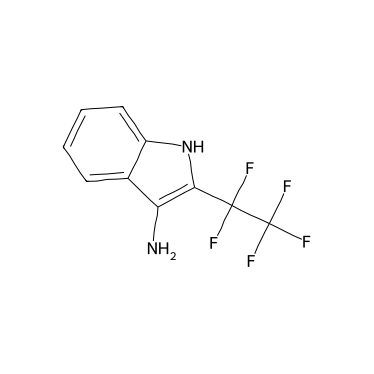 Nc1c(C(F)(F)C(F)(F)F)[nH]c2ccccc12